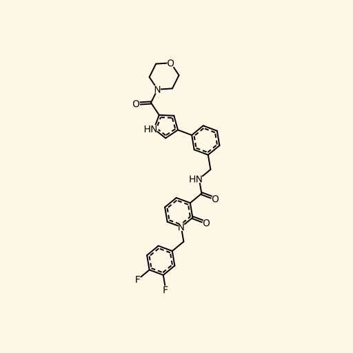 O=C(NCc1cccc(-c2c[nH]c(C(=O)N3CCOCC3)c2)c1)c1cccn(Cc2ccc(F)c(F)c2)c1=O